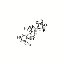 C[C@@H]1CNCC[C@H]1Nc1ccc2c(-n3cc(F)c(=O)[nH]c3=O)nn(C)c2c1